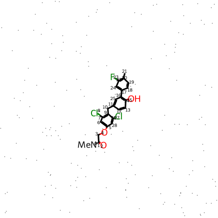 CNC(=O)COc1cc(Cl)c(Cc2ccc(O)c(-c3ccc(C)c(F)c3)c2)c(Cl)c1